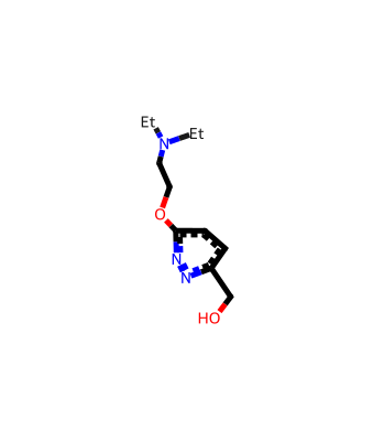 CCN(CC)CCOc1ccc(CO)nn1